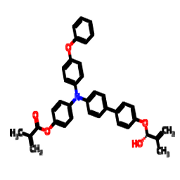 C=C(C)C(=O)Oc1ccc(N(c2ccc(Oc3ccccc3)cc2)c2ccc(-c3ccc(O[C@@H](O)C(=C)C)cc3)cc2)cc1